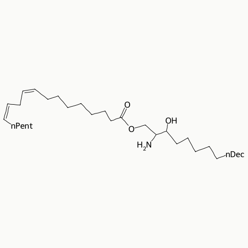 CCCCC/C=C\C/C=C\CCCCCCCC(=O)OCC(N)C(O)CCCCCCCCCCCCCCC